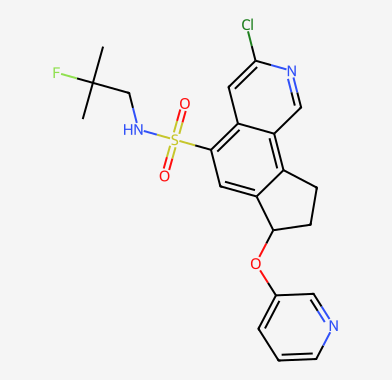 CC(C)(F)CNS(=O)(=O)c1cc2c(c3cnc(Cl)cc13)CCC2Oc1cccnc1